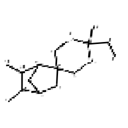 CCC1(C)OCC2(CO1)CC1CC2C(C)C1C